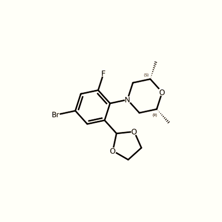 C[C@@H]1CN(c2c(F)cc(Br)cc2C2OCCO2)C[C@H](C)O1